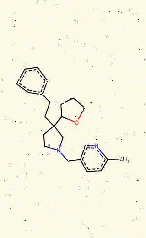 Cc1ccc(CN2CCC(CCc3ccccc3)(C3CCCO3)C2)cn1